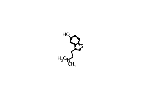 CN(C)CCc1csc2ccc(O)cc12